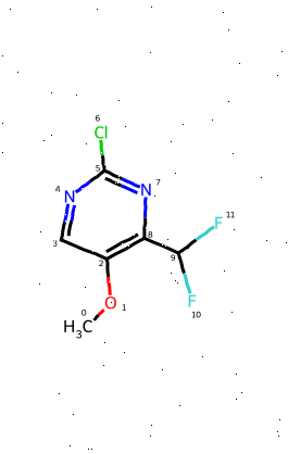 COc1cnc(Cl)nc1C(F)F